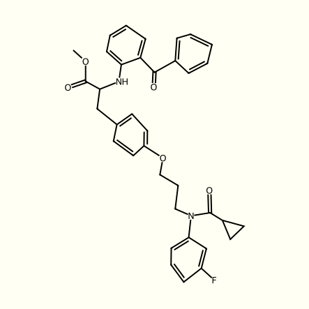 COC(=O)C(Cc1ccc(OCCCN(C(=O)C2CC2)c2cccc(F)c2)cc1)Nc1ccccc1C(=O)c1ccccc1